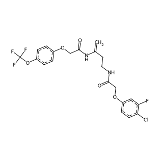 C=C(CCNC(=O)COc1ccc(Cl)c(F)c1)NC(=O)COc1ccc(OC(F)(F)F)cc1